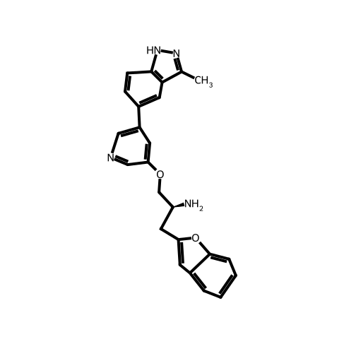 Cc1n[nH]c2ccc(-c3cncc(OC[C@@H](N)Cc4cc5ccccc5o4)c3)cc12